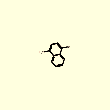 [CH2]Cc1ccc(C(F)(F)F)c2ccccc12